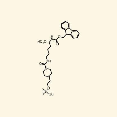 CC(C)(C)[Si](C)(C)OCCN1CCN(C(=O)NCCCC[C@@H](NC(=O)OCC2c3ccccc3-c3ccccc32)C(=O)O)CC1